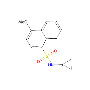 COc1ccc(S(=O)(=O)N[C]2CC2)c2ccccc12